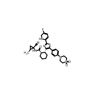 CC1CC1(C#N)NC(=O)[C@@H]1CCCC[C@H]1c1nc(C2=CC=C(F)CN2)sc1-c1ccc(N2CCS(=O)(=O)CC2)cc1